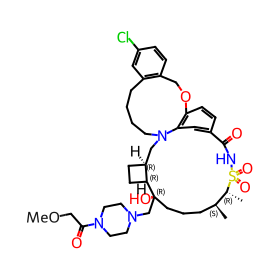 COCC(=O)N1CCN(C[C@@]2(O)CCC[C@H](C)[C@@H](C)S(=O)(=O)NC(=O)c3ccc4c(c3)N(CCCCc3cc(Cl)ccc3CO4)C[C@@H]3CC[C@H]32)CC1